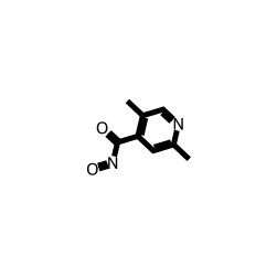 Cc1cc(C(=O)N=O)c(C)cn1